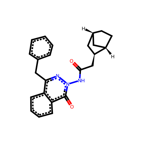 O=C(C[C@H]1C[C@@H]2CC[C@H]1C2)Nn1nc(Cc2ccccc2)c2ccccc2c1=O